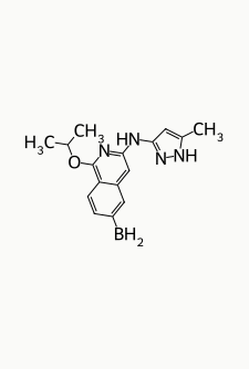 Bc1ccc2c(OC(C)C)nc(Nc3cc(C)[nH]n3)cc2c1